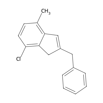 Cc1ccc(Cl)c2c1C=C(Cc1ccccc1)C2